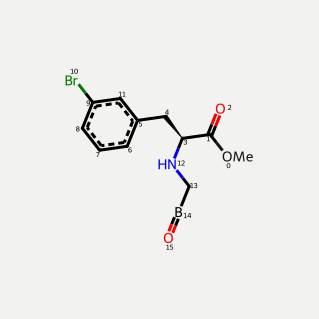 COC(=O)[C@H](Cc1cccc(Br)c1)NCB=O